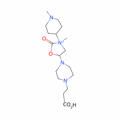 CN1CCC([N+]2(C)CC(N3CCN(CCC(=O)O)CC3)OC2=O)CC1